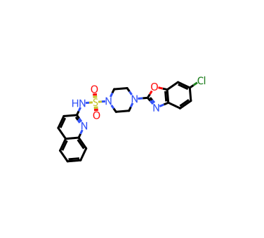 O=S(=O)(Nc1ccc2ccccc2n1)N1CCN(c2nc3ccc(Cl)cc3o2)CC1